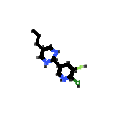 CCCc1cnc(-c2cnc(Cl)c(F)c2)nc1